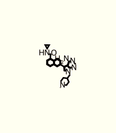 CN1CCC(Cn2cc(-c3ccc4c(C(=O)NC5CC5)cccc4c3)c3c(N)ncnc32)CC1